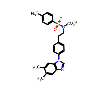 Cc1ccc(S(=O)(=O)N(CCc2ccc(-n3cnc4cc(C)c(C)cc43)cc2)C(=O)O)cc1